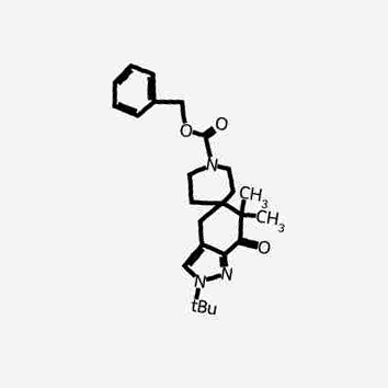 CC(C)(C)n1cc2c(n1)C(=O)C(C)(C)C1(CCN(C(=O)OCc3ccccc3)CC1)C2